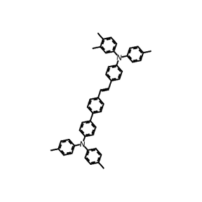 Cc1ccc(N(c2ccc(C)cc2)c2ccc(-c3ccc(/C=C/c4ccc(N(c5ccc(C)cc5)c5ccc(C)c(C)c5)cc4)cc3)cc2)cc1